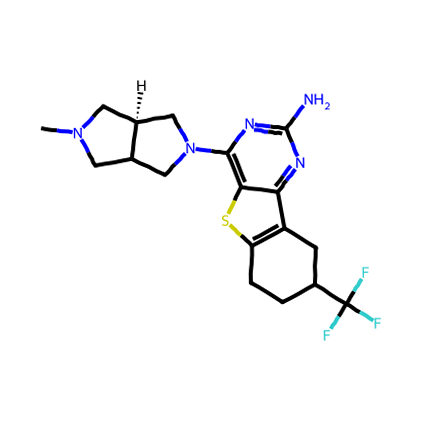 CN1CC2CN(c3nc(N)nc4c5c(sc34)CCC(C(F)(F)F)C5)C[C@@H]2C1